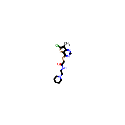 Cc1c(Cl)sc2c(SCC(=O)NCCN3CCCCC3)ncnc12